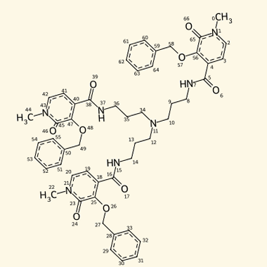 Cn1ccc(C(=O)NCCCN(CCCNC(=O)c2ccn(C)c(=O)c2OCc2ccccc2)CCCNC(=O)c2ccn(C)c(=O)c2OCc2ccccc2)c(OCc2ccccc2)c1=O